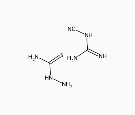 N#CNC(=N)N.NNC(N)=S